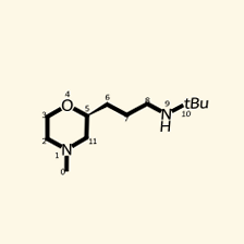 CN1CCO[C@@H](CCCNC(C)(C)C)C1